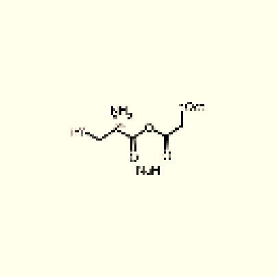 CCCCCCCCCC(=O)OC(=O)[C@@H](N)CC(C)C.[NaH]